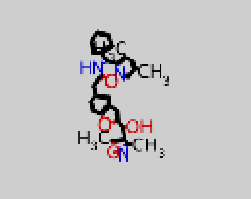 Cc1cnc([C@@H](NC(=O)Cc2ccc3oc(C(O)c4c(C)noc4C)cc3c2)c2ccccc2)c(C)c1